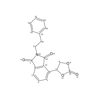 O=C1c2cccc(C3COS(=O)O3)c2C(=O)N1CCc1ccccc1